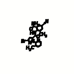 Cc1cccnc1-n1nc(Br)cc1C(=O)Nc1c(C)cc(C#N)cc1C(N)=O